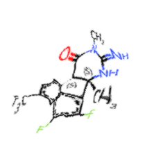 CN1C(=N)N[C@](C)(c2ccc(F)cc2F)[C@H](c2ccc(C(F)(F)F)cc2)C1=O